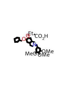 CC(=O)O.CCOc1cc2c(cc1OCc1ccccc1)CCN(Cc1cc(OC)c(OC)c(OC)c1)C2